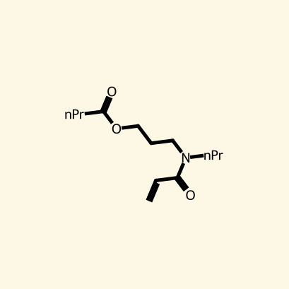 C=CC(=O)N(CCC)CCCOC(=O)CCC